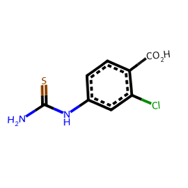 NC(=S)Nc1ccc(C(=O)O)c(Cl)c1